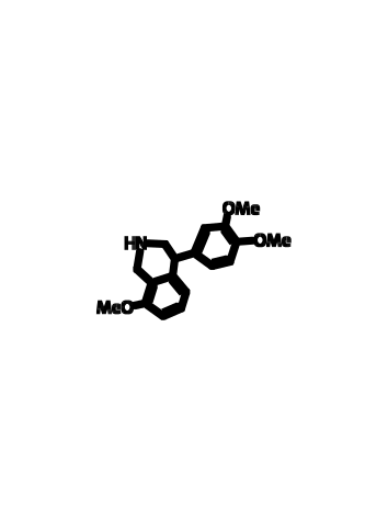 COc1ccc(C2CNCc3c(OC)cccc32)cc1OC